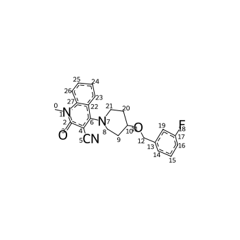 Cn1c(=O)c(C#N)c(N2CCC(OCc3cccc(F)c3)CC2)c2ccccc21